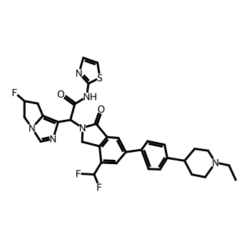 CCN1CCC(c2ccc(-c3cc4c(c(C(F)F)c3)CN(C(C(=O)Nc3nccs3)c3ncn5c3CC(F)C5)C4=O)cc2)CC1